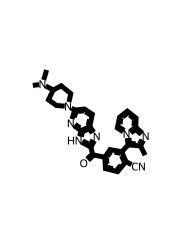 Cc1nc2ccccn2c1-c1cc(C(=O)c2nc3ccc(N4CCC(N(C)C)CC4)nc3[nH]2)ccc1C#N